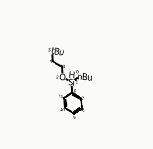 CCCC[SiH](OCCC(C)(C)C)c1ccccc1